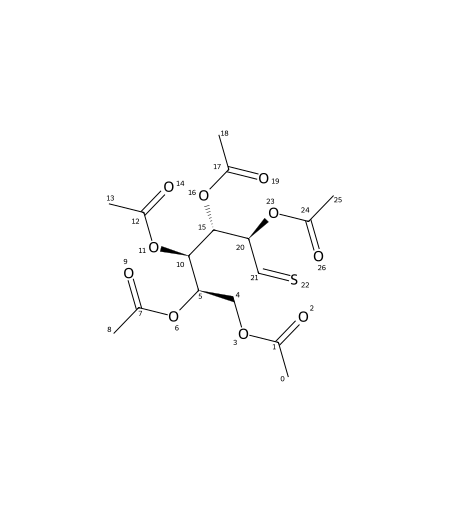 CC(=O)OC[C@@H](OC(C)=O)[C@@H](OC(C)=O)[C@H](OC(C)=O)[C@H](C=S)OC(C)=O